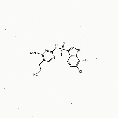 COc1nc(NS(=O)(=O)c2c[nH]c3c(Br)c(Cl)ccc23)ncc1CCC#N